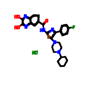 Cl.O=C(Nc1nc(-c2ccc(F)cc2)c(N2CCN(C3CCCCC3)CC2)s1)c1ccc2nc(O)c(O)nc2c1